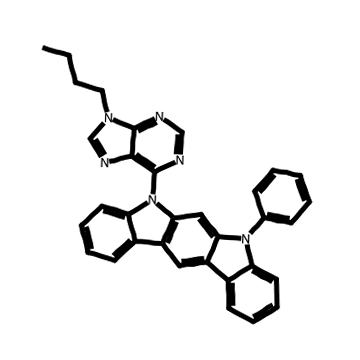 CCCCn1cnc2c(-n3c4ccccc4c4cc5c6ccccc6n(-c6ccccc6)c5cc43)ncnc21